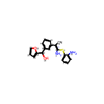 N#C/C(=C(/N)Sc1ccccc1N)c1cccc(C(O)c2ccco2)c1